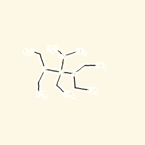 CCN(CC)[Si](CC)(N(C)C)N(CC)CC